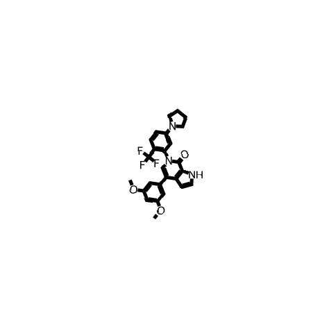 COc1cc(OC)cc(-c2cn(-c3cc(N4CCCC4)ccc3C(F)(F)F)c(=O)c3[nH]ccc23)c1